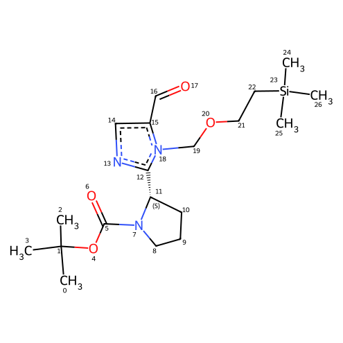 CC(C)(C)OC(=O)N1CCC[C@H]1c1ncc(C=O)n1COCC[Si](C)(C)C